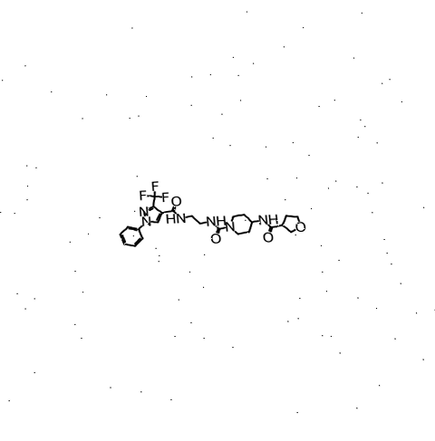 O=C(NCCNC(=O)N1CCC(NC(=O)C2CCOC2)CC1)c1cn(-c2ccccc2)nc1C(F)(F)F